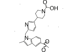 Cc1cc2cc(S(C)(=O)=O)ccc2n1Cc1ccc(C2CCN(C(=O)O)CC2)cn1